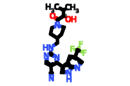 CC(C)[C@@H](O)C(=O)N1CCC(CNc2ncc(C#N)c(-c3c[nH]c4ncc(C(F)(F)F)cc34)n2)CC1